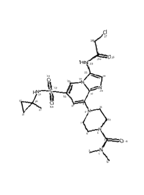 CN(C)C(=O)N1CCN(c2cc(S(=O)(=O)NC3(C)CC3)cn3c(NC(=O)CCl)cnc23)CC1